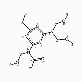 CCc1nc(N(COC)COC)nc(N(COC)C(C)=O)n1